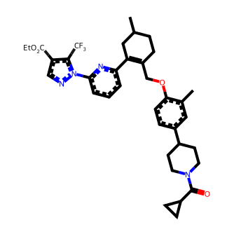 CCOC(=O)c1cnn(-c2cccc(C3=C(COc4ccc(C5CCN(C(=O)C6CC6)CC5)cc4C)CCC(C)C3)n2)c1C(F)(F)F